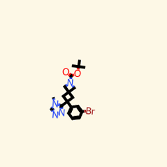 Cn1cnnc1C1(c2cccc(Br)c2)CC2(CN(C(=O)OC(C)(C)C)C2)C1